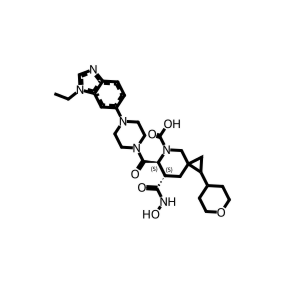 CCn1cnc2ccc(N3CCN(C(=O)[C@@H]4[C@@H](C(=O)NO)CC5(CC5C5CCOCC5)CN4C(=O)O)CC3)cc21